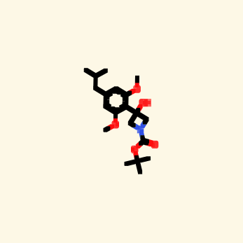 COc1cc(CC(C)C)cc(OC)c1C1(O)CN(C(=O)OC(C)(C)C)C1